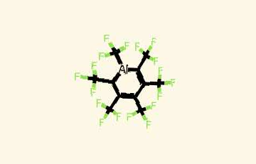 FC(F)(F)C1=C(C(F)(F)F)[CH](C(F)(F)F)[Al]([C](F)(F)F)[C](C(F)(F)F)=C1C(F)(F)F